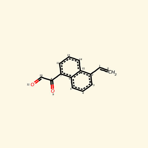 C=Cc1cccc2c(C(=O)C=O)cccc12